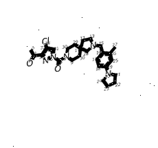 CC(=O)c1nn(C(=O)N2CCC3(CCN(Cc4ccc(N5CCCC5)cc4C)C3)CC2)cc1Cl